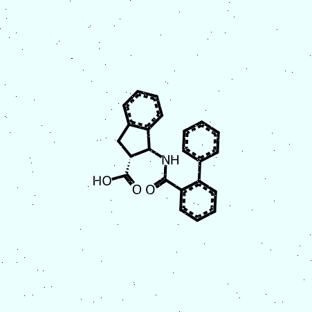 O=C(NC1c2ccccc2C[C@H]1C(=O)O)c1ccccc1-c1ccccc1